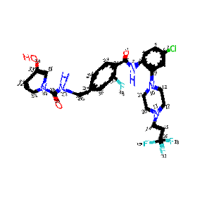 O=C(Nc1ccc(Cl)cc1N1CCN(CCC(F)(F)F)CC1)c1ccc(CNC(=O)N2CCC(O)C2)cc1F